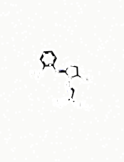 Cc1ccccc1/N=C1\SCC(O)N1/N=C/C(C)C